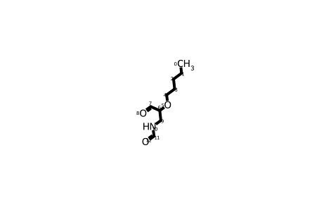 CCCCCOC(C=O)CNC=O